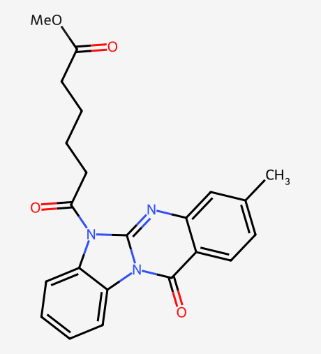 COC(=O)CCCCC(=O)n1c2ccccc2n2c(=O)c3ccc(C)cc3nc12